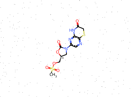 CS(=O)(=O)OC[C@@H]1CN(c2cnc3c(n2)NC(=O)CS3)C(=O)O1